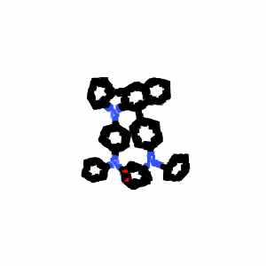 c1ccc(N(c2ccccc2)c2ccc(-c3c4ccccc4cc4c5ccccc5n(-c5ccc(N(c6ccccc6)c6ccccc6)cc5)c34)cc2)cc1